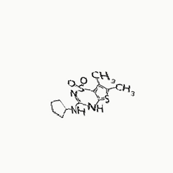 Cc1sc2c(c1C)S(=O)(=O)N=C(NC1CCCC1)N2